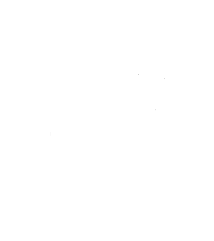 N#CC(CCc1ccc(Cl)cc1)(Cc1cnccn1)c1ccc(Cl)cc1